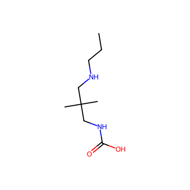 CCCNCC(C)(C)CNC(=O)O